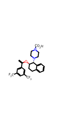 C=C(O[C@@H]1CCc2ccccc2[C@H]1N1CCN(C(=O)O)CC1)c1cc(C(F)(F)F)cc(C(F)(F)F)c1